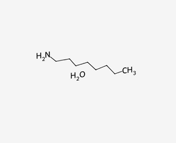 CCCCCCCCN.O